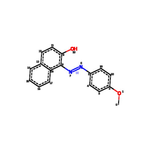 COc1ccc(/N=N/c2c(O)ccc3ccccc23)cc1